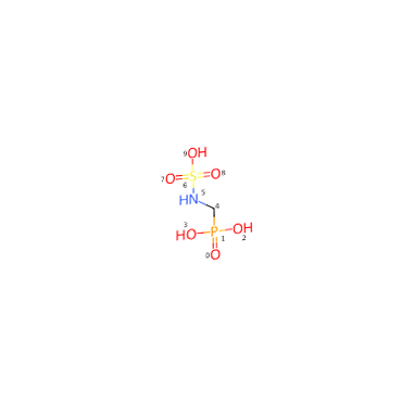 O=P(O)(O)CNS(=O)(=O)O